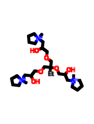 CCC(COCC(O)C[N+]1(C)CCCC1)(COCC(O)C[N+]1(C)CCCC1)OCC(O)C[N+]1(C)CCCC1